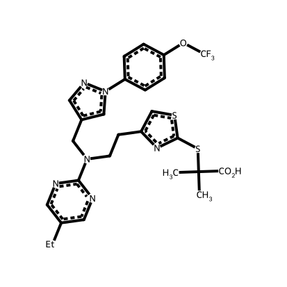 CCc1cnc(N(CCc2csc(SC(C)(C)C(=O)O)n2)Cc2cnn(-c3ccc(OC(F)(F)F)cc3)c2)nc1